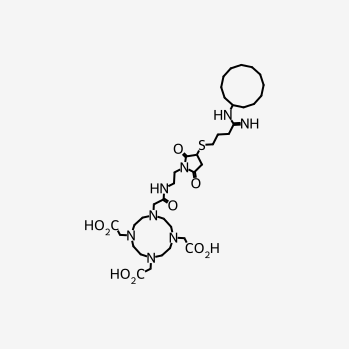 N=C(CCCSC1CC(=O)N(CCNC(=O)CN2CCN(CC(=O)O)CCN(CC(=O)O)CCN(CC(=O)O)CC2)C1=O)NC1CCCCCCCCCCC1